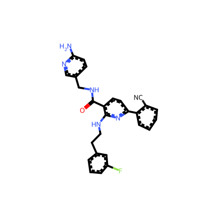 N#Cc1ccccc1-c1ccc(C(=O)NCc2ccc(N)nc2)c(NCCc2cccc(F)c2)n1